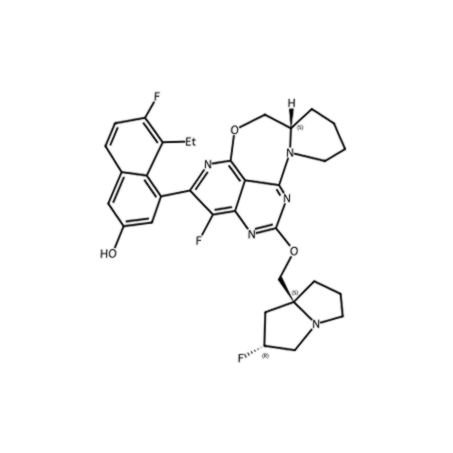 CCc1c(F)ccc2cc(O)cc(-c3nc4c5c(nc(OC[C@@]67CCCN6C[C@H](F)C7)nc5c3F)N3CCCC[C@H]3CO4)c12